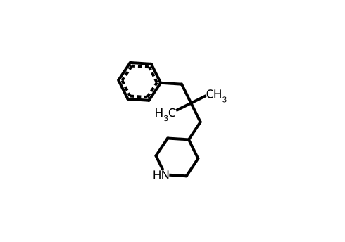 CC(C)(Cc1ccccc1)CC1CCNCC1